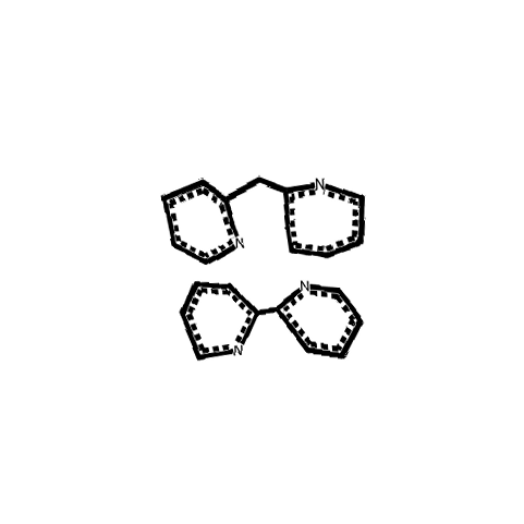 c1ccc(-c2ccccn2)nc1.c1ccc(Cc2ccccn2)nc1